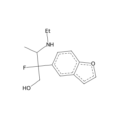 CCNC(C)C(F)(CO)c1ccc2occc2c1